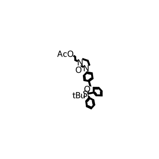 CC(=O)OCCN1CCCN(c2ccc(CO[Si](c3ccccc3)(c3ccccc3)C(C)(C)C)cc2)C1=O